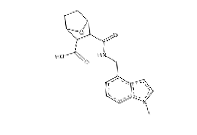 Cn1ccc2c(CNC(=O)C3C4CCC(O4)C3C(=O)O)cccc21